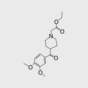 CCOC(=O)CN1CCC(C(=O)c2ccc(OC)c(OC)c2)CC1